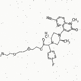 C[C@@H]1CN(c2cc(=O)n(C)c3ccc(C#N)nc23)[C@@H](C)CN1C(C(=O)OCCOCCOCCN)c1ccc(F)cc1